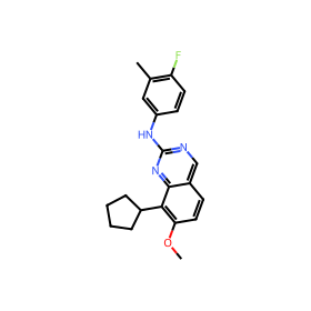 COc1ccc2cnc(Nc3ccc(F)c(C)c3)nc2c1C1CCCC1